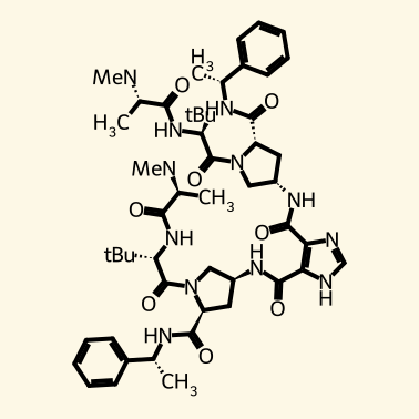 CN[C@@H](C)C(=O)N[C@H](C(=O)N1C[C@@H](NC(=O)c2nc[nH]c2C(=O)N[C@H]2C[C@@H](C(=O)N[C@H](C)c3ccccc3)N(C(=O)[C@@H](NC(=O)[C@H](C)NC)C(C)(C)C)C2)C[C@H]1C(=O)N[C@H](C)c1ccccc1)C(C)(C)C